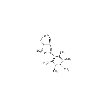 Cc1c(C)c(C)c([N+]([O-])=Cc2ccccc2S(=O)(=O)O)c(C)c1C